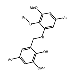 COc1cc(C(C)=O)cc(CNc2cc(C(C)=O)cc(OC)c2OC(C)C)c1O